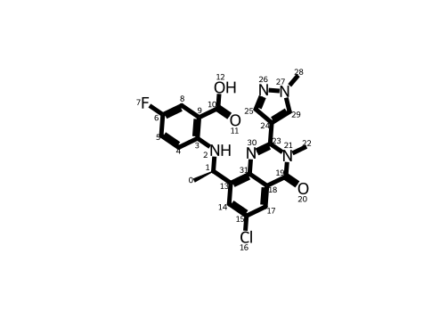 C[C@@H](Nc1ccc(F)cc1C(=O)O)c1cc(Cl)cc2c(=O)n(C)c(-c3cnn(C)c3)nc12